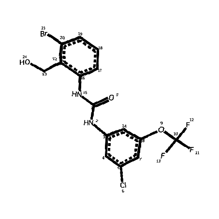 O=C(Nc1cc(Cl)cc(OC(F)(F)F)c1)Nc1cccc(Br)c1CO